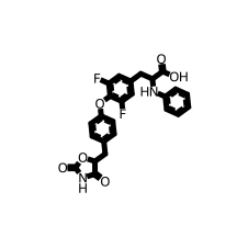 O=C1NC(=O)C(Cc2ccc(Oc3c(F)cc(CC(Nc4ccccc4)C(=O)O)cc3F)cc2)O1